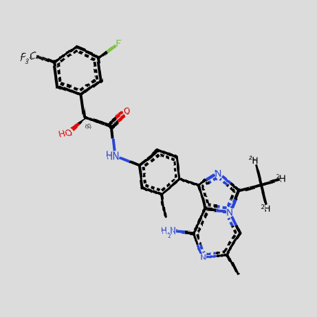 [2H]C([2H])([2H])c1nc(-c2ccc(NC(=O)[C@@H](O)c3cc(F)cc(C(F)(F)F)c3)cc2C)c2c(N)nc(C)cn12